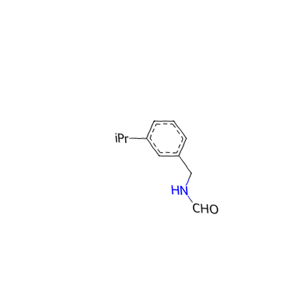 CC(C)c1cccc(CNC=O)c1